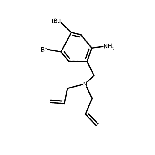 C=CCN(CC=C)Cc1cc(Br)c(C(C)(C)C)cc1N